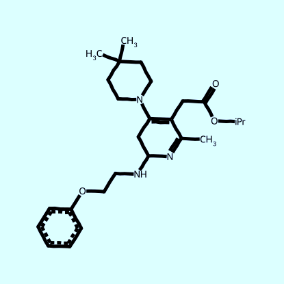 CC1=NC(NCCOc2ccccc2)CC(N2CCC(C)(C)CC2)=C1CC(=O)OC(C)C